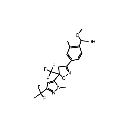 COC(O)c1ccc(C2=NOC(c3cc(C(F)(F)F)nn3C)(C(F)(F)F)C2)cc1C